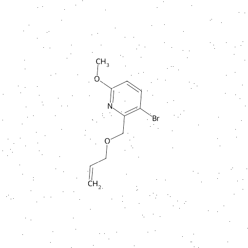 C=CCOCc1nc(OC)ccc1Br